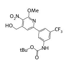 COc1nc(-c2cc(NC(=O)OC(C)(C)C)cc(C(F)(F)F)c2)cc(CO)c1[N+](=O)[O-]